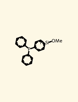 CO[SiH3].c1ccc(P(c2ccccc2)c2ccccc2)cc1